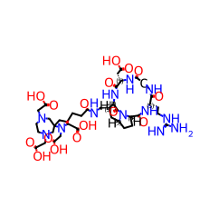 N=C(N)NCC[C@@H]1NC(=O)[C@@H]2CC[C@H]3C[C@@H](CNC(=O)CCCCC4(N(CC(=O)O)CC(=O)O)CN(CC(=O)O)CCN(CC(=O)O)C4)[C@@H](NC(=O)[C@H](CC(=O)O)NC(=O)CNC1=O)C(=O)N32